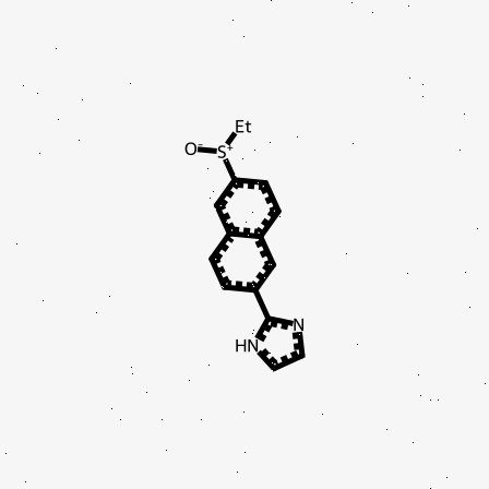 CC[S+]([O-])c1ccc2cc(-c3ncc[nH]3)ccc2c1